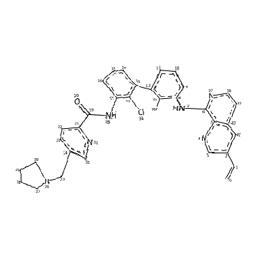 C=Cc1cnc2c(Nc3cccc(-c4cccc(NC(=O)c5ccc(CN6CCCC6)cn5)c4Cl)c3C)nccc2c1